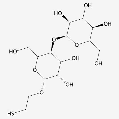 OCC1O[C@@H](O[C@@H]2C(CO)O[C@@H](OCCS)[C@@H](O)C2O)[C@@H](O)C(O)[C@H]1O